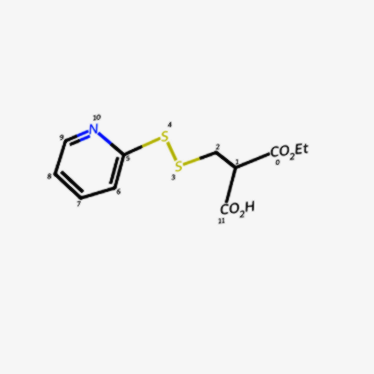 CCOC(=O)C(CSSc1ccccn1)C(=O)O